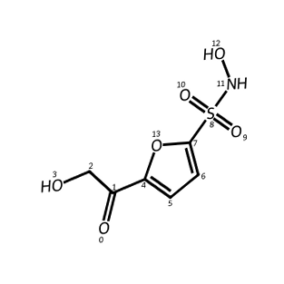 O=C(CO)c1ccc(S(=O)(=O)NO)o1